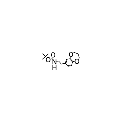 CC(C)(C)OC(=O)NCCc1ccc2c(c1)OCCCO2